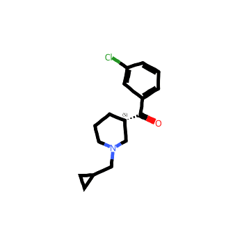 O=C(c1cccc(Cl)c1)[C@H]1CCCN(CC2CC2)C1